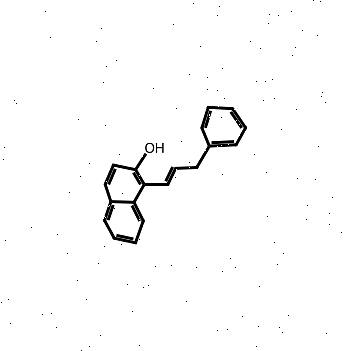 Oc1ccc2ccccc2c1C=CCc1ccccc1